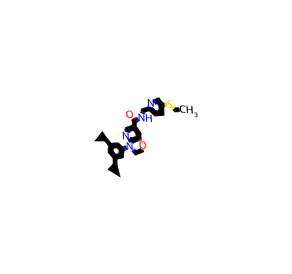 CCSc1ccc(CNC(=O)c2cnc3c(c2)OCCN3c2cc(C3CC3)cc(C3CC3)c2)nc1